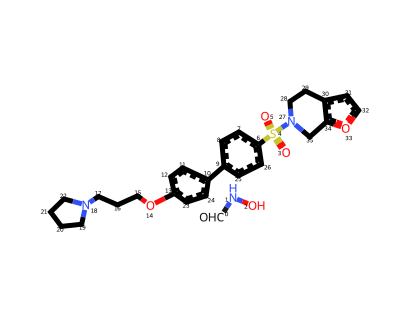 O=CNO.O=S(=O)(c1ccc(-c2ccc(OCCCN3CCCC3)cc2)cc1)N1CCc2ccoc2C1